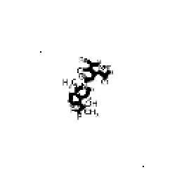 C[C@H]1c2cccc(C(C)(O)C(F)F)c2CCN1C(=O)Cc1c(Cl)c(Br)cn2ncc(Cl)c12